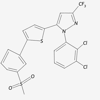 CS(=O)(=O)c1cccc(-c2ccc(-c3cc(C(F)(F)F)nn3-c3cccc(Cl)c3Cl)s2)c1